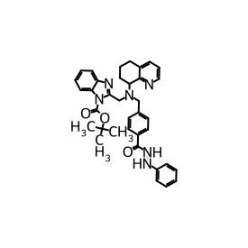 CC(C)(C)OC(=O)n1c(CN(Cc2ccc(C(=O)NNc3ccccc3)cc2)C2CCCc3cccnc32)nc2ccccc21